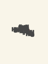 COc1nc(-c2ccnc(-c3cccc4c3CCC[C@H]4Oc3nc(OC)c(CN4CC5(CNC(=O)C5)C4)cc3C(F)(F)F)c2Cl)ccc1CNC[C@H]1CCC(=O)N1